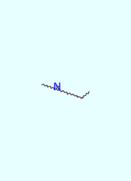 CCCCC/C=C\CC=CCCCCCCCCCCCC(CCCCCCCCC)N(C)C